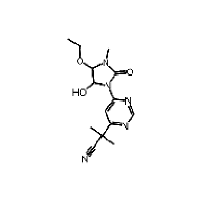 CCOC1C(O)N(c2cc(C(C)(C)C#N)ncn2)C(=O)N1C